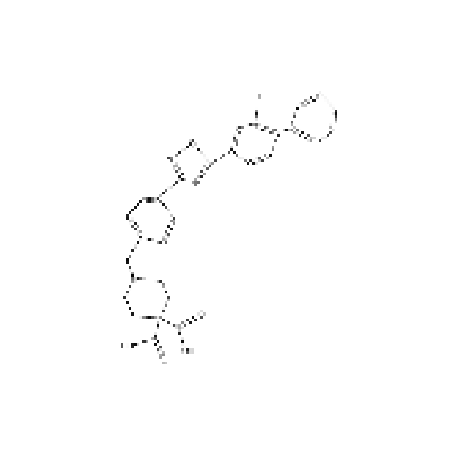 O=C(O)C1(C(=O)O)CCN(Cc2ccc(-c3noc(-c4ccc(-c5ccccc5)c(F)c4)n3)cc2)CC1